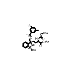 COC(=O)C(CC[C@](CO[C@H](C)c1cc(C)cc(C(F)(F)F)c1)(N[S@+]([O-])C(C)(C)C)c1ccccc1)NC(=O)OC(C)(C)C